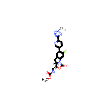 COC(=O)NC[C@@H]1OC(=O)N2c3cc(F)c(-c4ccc(-c5nnn(C)n5)nc4)cc3C[C@@H]12